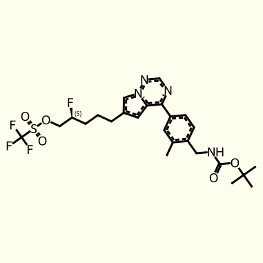 Cc1cc(-c2ncnn3cc(CCC[C@H](F)COS(=O)(=O)C(F)(F)F)cc23)ccc1CNC(=O)OC(C)(C)C